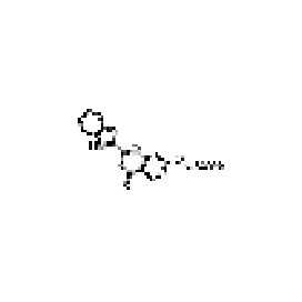 COCOc1ccc2c(=S)cc(-c3nc4ccccc4[nH]3)oc2c1